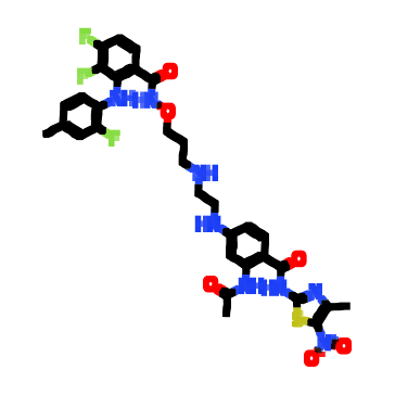 CC(=O)Nc1cc(NCCNCCCONC(=O)c2ccc(F)c(F)c2Nc2ccc(C)cc2F)ccc1C(=O)Nc1nc(C)c([N+](=O)[O-])s1